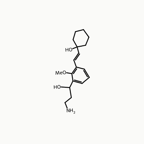 COc1c(C=CC2(O)CCCCC2)cccc1C(O)CCN